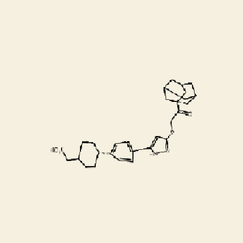 O=C(O)C[C@H]1CC[C@H](c2ccc(-c3cc(OCC(=O)C45CC6CC(CC(C6)C4)C5)n[nH]3)cc2)CC1